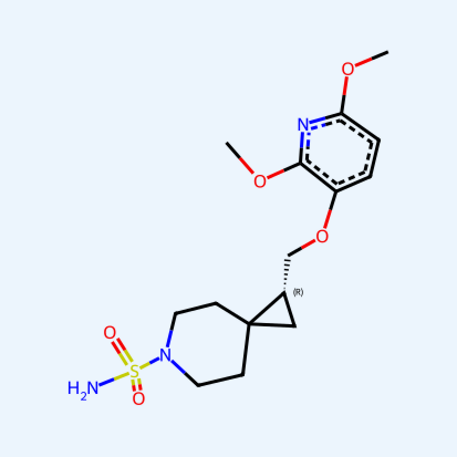 COc1ccc(OC[C@@H]2CC23CCN(S(N)(=O)=O)CC3)c(OC)n1